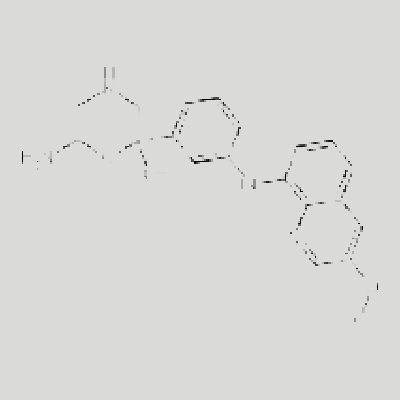 COc1cnc2c(Nc3cccc(C4(C)CNCC(N)O4)c3)cccc2c1